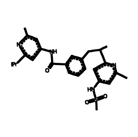 Cc1cc(NC(=O)c2cccc(CC(C)c3cc(NS(C)(=O)=O)cc(C)n3)c2)cc(C(C)C)n1